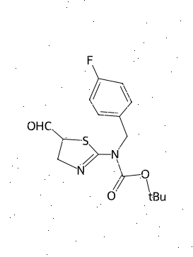 CC(C)(C)OC(=O)N(Cc1ccc(F)cc1)C1=NCC(C=O)S1